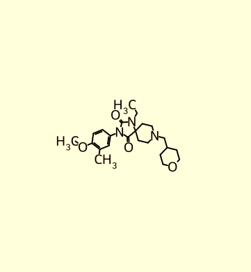 CCN1C(=O)N(c2ccc(OC)c(C)c2)C(=O)C12CCN(CC1CCOCC1)CC2